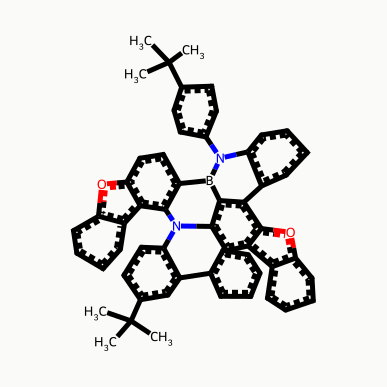 CC(C)(C)c1ccc(N2B3c4ccc5oc6ccccc6c5c4N(c4ccc(C(C)(C)C)cc4-c4ccccc4)c4cc5c(oc6ccccc65)c(c43)-c3ccccc32)cc1